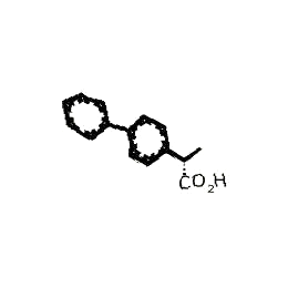 C[C@H](C(=O)O)c1ccc(-c2ccccc2)cc1